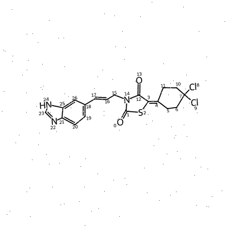 O=C1SC(=C2CCC(Cl)(Cl)CC2)C(=O)N1C/C=C/c1ccc2nc[nH]c2c1